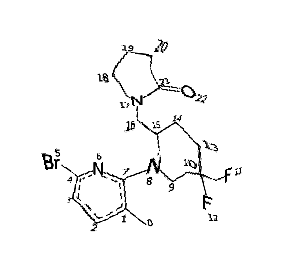 Cc1ccc(Br)nc1N1CC(F)(F)CCC1CN1CCCC1=O